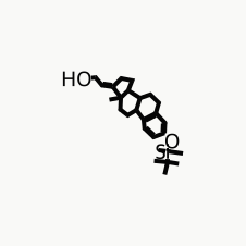 CC12CCC3c4ccc(O[Si](C)(C)C(C)(C)C)cc4CCC3C1CCC2=CCO